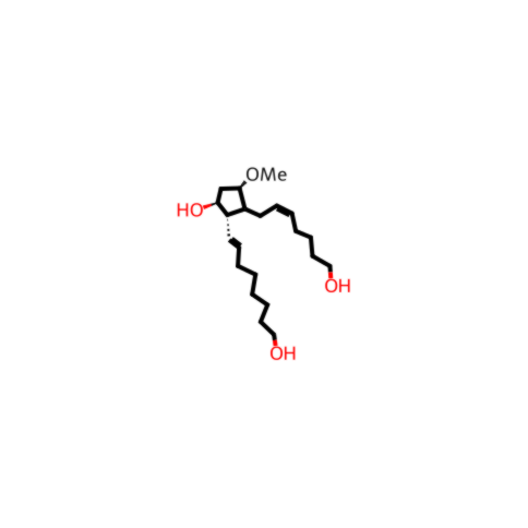 CO[C@@H]1C[C@H](O)[C@@H](/C=C/CCCCCCO)C1C/C=C\CCCCO